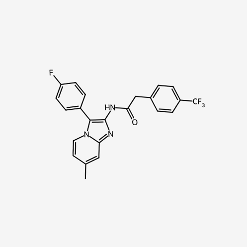 Cc1ccn2c(-c3ccc(F)cc3)c(NC(=O)Cc3ccc(C(F)(F)F)cc3)nc2c1